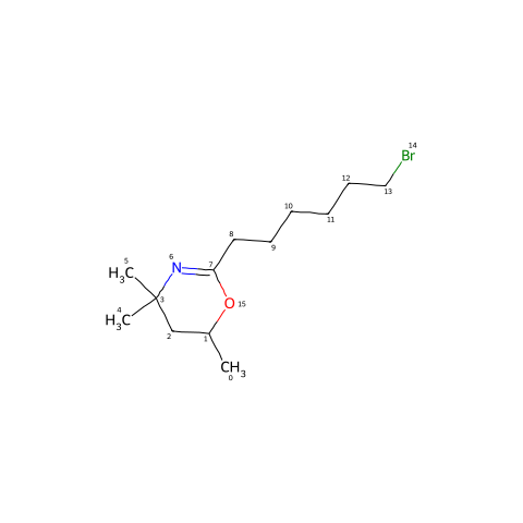 CC1CC(C)(C)N=C(CCCCCCBr)O1